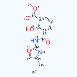 COC(=O)c1cccc(C(=O)Nc2nc(CF)co2)c1O